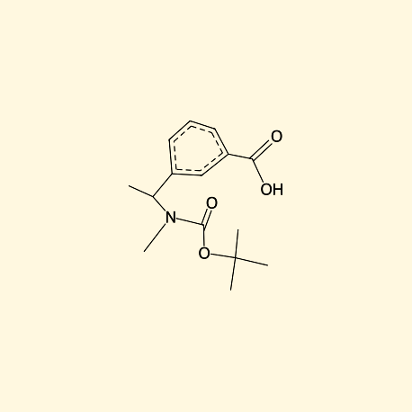 CC(c1cccc(C(=O)O)c1)N(C)C(=O)OC(C)(C)C